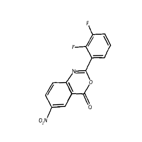 O=c1oc(-c2cccc(F)c2F)nc2ccc([N+](=O)[O-])cc12